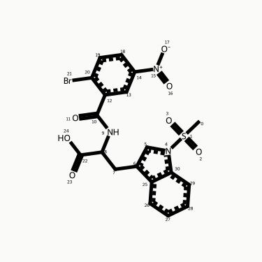 CS(=O)(=O)n1cc(CC(NC(=O)c2cc([N+](=O)[O-])ccc2Br)C(=O)O)c2ccccc21